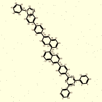 c1ccc(-c2nc(-c3ccccc3)nc(-c3ccc(-c4ccc5c(-c6cccc7cc(-c8ccc(-c9ccc%10c(c9)ncn%10-c9ccccc9)cc8)ccc67)cccc5c4)cc3)n2)cc1